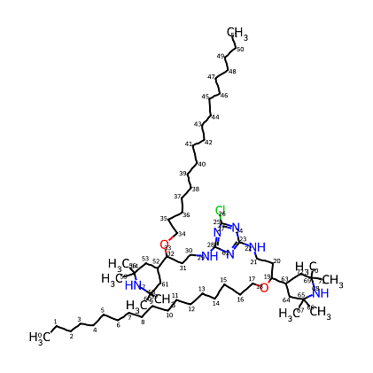 CCCCCCCCCCCCCCCCCCOC(CCNc1nc(Cl)nc(NCCC(OCCCCCCCCCCCCCCCCCC)C2CC(C)(C)NC(C)(C)C2)n1)C1CC(C)(C)NC(C)(C)C1